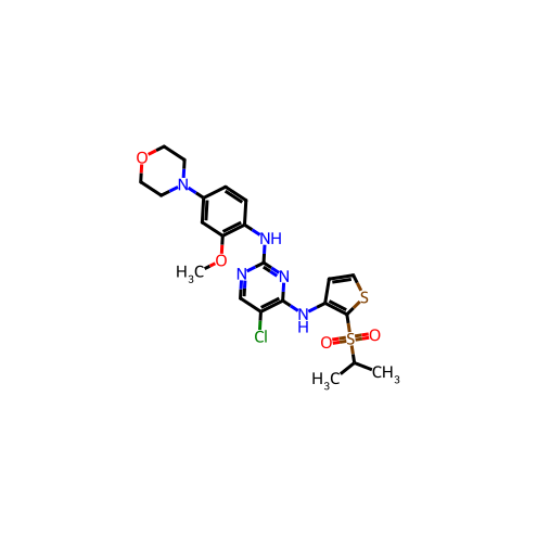 COc1cc(N2CCOCC2)ccc1Nc1ncc(Cl)c(Nc2ccsc2S(=O)(=O)C(C)C)n1